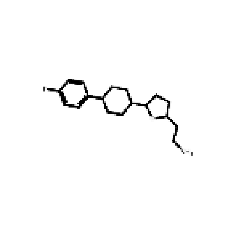 CCCC1CCC(C2CCC(c3ccc(F)cc3)CC2)O1